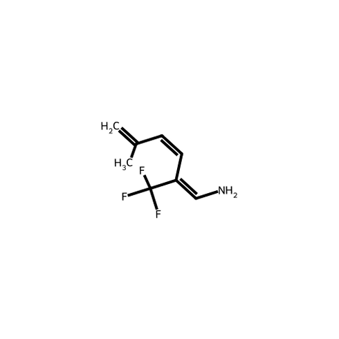 C=C(C)/C=C\C(=C/N)C(F)(F)F